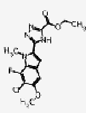 CCOC(=O)c1nnc(-c2cc3cc(OC)c(Cl)c(F)c3n2C)[nH]1